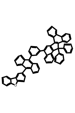 c1ccc(C2(c3ccccc3)c3c(cc(-c4cccc(-c5c6ccccc6c(-c6ccc7oc8ccccc8c7c6)c6ccccc56)c4)c4ccccc34)-c3c2c2ccccc2c2ccccc32)cc1